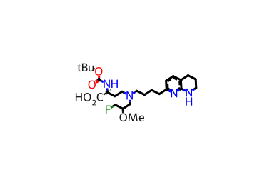 COC(CF)CN(CCCCc1ccc2c(n1)NCCC2)CC[C@H](NC(=O)OC(C)(C)C)C(=O)O